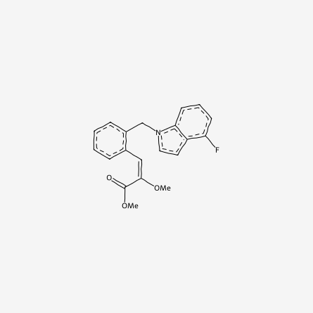 COC(=O)C(=Cc1ccccc1Cn1ccc2c(F)cccc21)OC